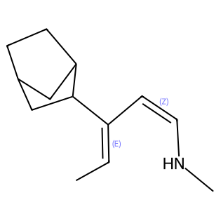 C/C=C(/C=C\NC)C1CC2CCC1C2